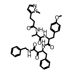 COc1ccc(CC(NC(=O)C(C)NC(=O)CCc2ccnn2C)C(=O)NC(Cc2ccccc2)C(=O)C(=O)NCc2ccccc2)cc1